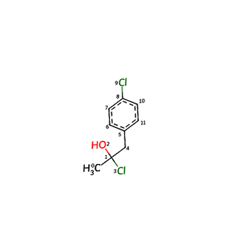 CC(O)(Cl)Cc1ccc(Cl)cc1